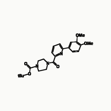 COc1ccc(-c2cccc(C(=O)N3CCN(C(=O)OC(C)(C)C)CC3)n2)cc1OC